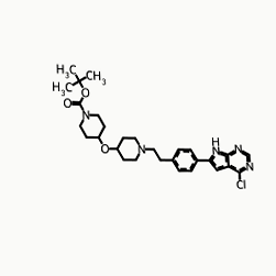 CC(C)(C)OC(=O)N1CCC(OC2CCN(CCc3ccc(-c4cc5c(Cl)ncnc5[nH]4)cc3)CC2)CC1